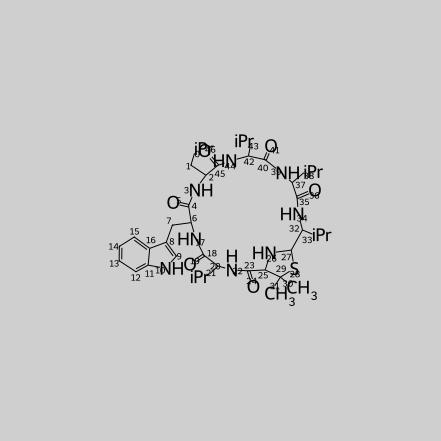 CC(C)CC1NC(=O)C(Cc2c[nH]c3ccccc23)NC(=O)C(C(C)C)NC(=O)C2NC(SC2(C)C)C(C(C)C)NC(=O)C(C(C)C)NC(=O)C(C(C)C)NC1=O